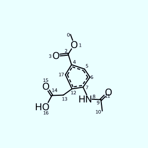 COC(=O)c1ccc(NC(C)=O)c(CC(=O)O)c1